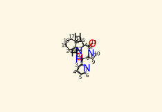 O=C(c1ccccn1)[C@@H]1CCN1C(=O)[C@@H]1C[C@@H]2CCCC[C@@H]2N1